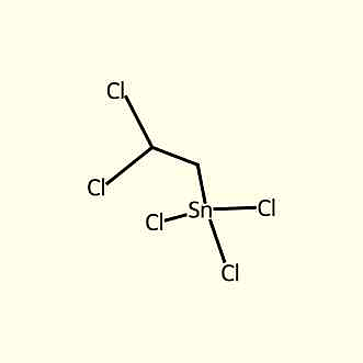 ClC(Cl)[CH2][Sn]([Cl])([Cl])[Cl]